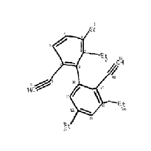 C#Cc1ccc(CC)c(CC)c1-c1cc(CC)[c]c(CC)c1C#C